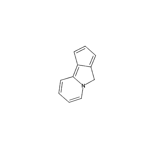 C1=CC2=C3C=CC=CN3CC2=C1